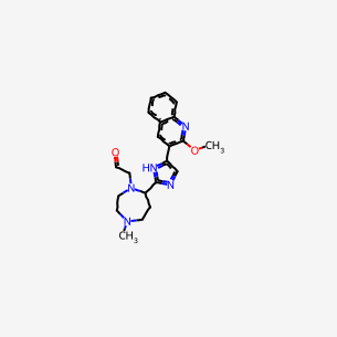 COc1nc2ccccc2cc1-c1cnc(C2CCN(C)CCN2CC=O)[nH]1